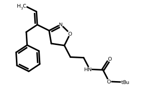 C/C=C(\Cc1ccccc1)C1=NOC(CCNC(=O)OC(C)(C)C)C1